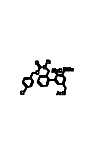 CCN(Cc1ccccc1-c1cc(COC(C)=O)cc(OC)c1OC)C(=O)OCc1ccc(Cl)cc1